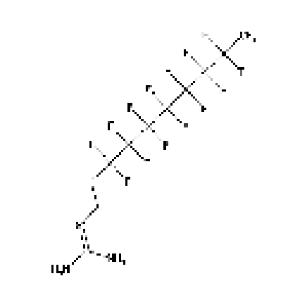 NC(N)=[S+]CCC(F)(F)C(F)(F)C(F)(F)C(F)(F)C(F)(F)C(F)(F)C(F)(F)C(F)(F)F.[I-]